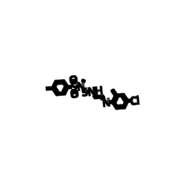 Cc1ccc(S(=O)(=O)N(C)SNCC=Nc2ccc(Cl)cc2C)cc1